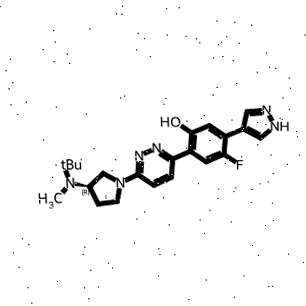 CN([C@@H]1CCN(c2ccc(-c3cc(F)c(-c4cn[nH]c4)cc3O)nn2)C1)C(C)(C)C